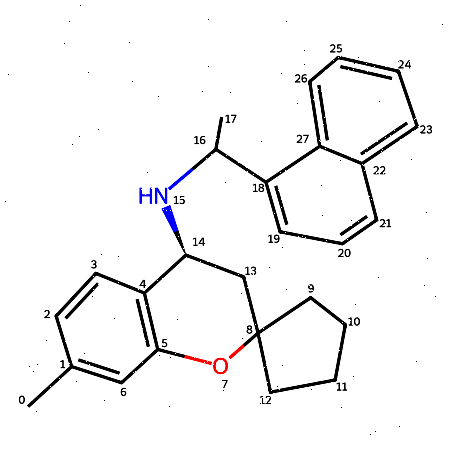 Cc1ccc2c(c1)OC1(CCCC1)C[C@@H]2NC(C)c1cccc2ccccc12